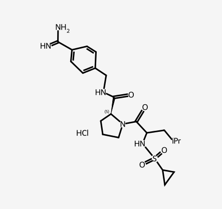 CC(C)CC(NS(=O)(=O)C1CC1)C(=O)N1CCC[C@H]1C(=O)NCc1ccc(C(=N)N)cc1.Cl